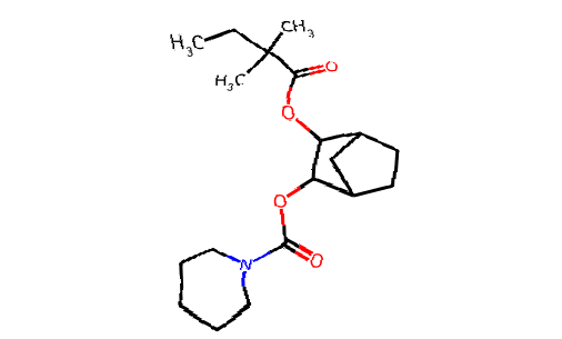 CCC(C)(C)C(=O)OC1C2CCC(C2)C1OC(=O)N1CCCCC1